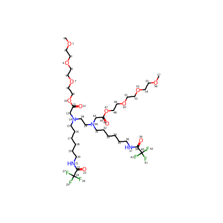 COCCOCCOCCOC(=O)CN(CCCCCCNC(=O)C(F)(F)F)CCN(CCCCCCNC(=O)C(F)(F)F)CC(=O)OCCOCCOCCOC